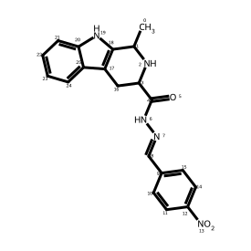 CC1NC(C(=O)N/N=C/c2ccc([N+](=O)[O-])cc2)Cc2c1[nH]c1ccccc21